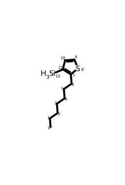 CCCCCCCc1sccc1[SiH3]